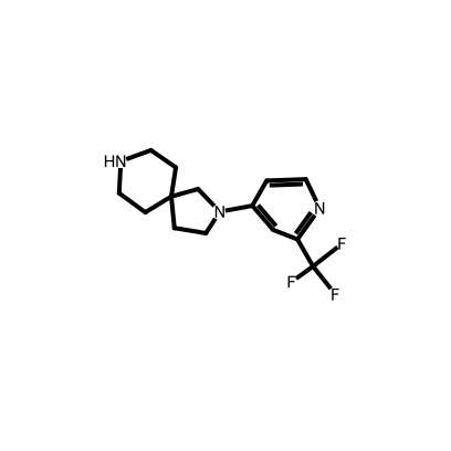 FC(F)(F)c1cc(N2CCC3(CCNCC3)C2)ccn1